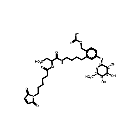 CC(C)C(=O)OCc1ccc(O[C@@H]2O[C@H](C(=O)O)[C@@H](O)[C@H](O)[C@H]2O)cc1CCCCNC(=O)C(CS(=O)(=O)O)NC(=O)CCCCCN1C(=O)C=CC1=O